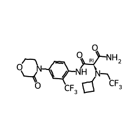 NC(=O)[C@H](C(=O)Nc1ccc(N2CCOCC2=O)cc1C(F)(F)F)N(CC(F)(F)F)C1CCC1